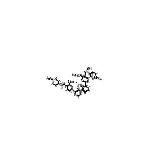 COc1cc(-c2nccc(-c3cccc(-c4ccc(CN(C)C5CCN(C(C)=O)CC5)c(OC)n4)c3Cl)c2Cl)ccc1CNC1CCN(C(C)=O)CC1